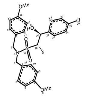 COc1ccc(CN(Cc2ccc(OC)cc2)S(=O)(=O)[C@@H](C)[C@@H](O)c2ccc(Cl)cn2)cc1